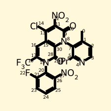 Cc1ccnc(C(C)C)c1-n1c(=O)c([N+](=O)[O-])c(Cl)c2cc(C(F)(F)F)n(-c3c(F)cccc3[N+](=O)[O-])c(=O)c21